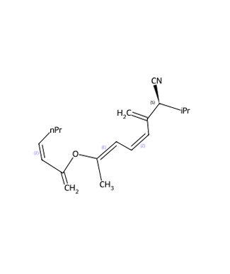 C=C(/C=C\CCC)O/C(C)=C/C=C\C(=C)[C@@H](C#N)C(C)C